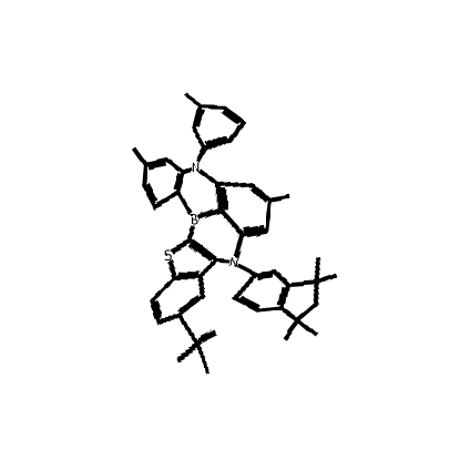 Cc1cccc(N2c3cc(C)ccc3B3c4sc5ccc(C(C)(C)C)cc5c4N(c4ccc5c(c4)C(C)(C)CC5(C)C)c4cc(C)cc2c43)c1